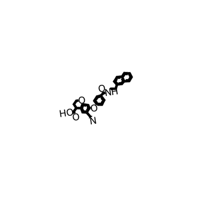 N#Cc1cc2c(cc1Oc1ccc(C(=O)NCCc3ccc4ccccc4c3)cc1)OCCC2C(=O)O